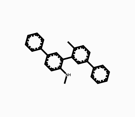 CNc1ccc(-c2ccccc2)cc1-c1cc(-c2ccccc2)ccc1C